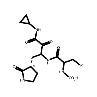 CC(C)CC(NC(=O)O)C(=O)NC(C[C@@H]1CCNC1=O)C(=O)C(=O)NC1CC1